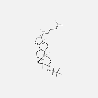 CC(C)=CCC[C@@H](C)[C@H]1CC=C2C3=C(CC[C@@]21C)[C@@]1(C)CC[C@H](O[Si](C)(C)C(C)(C)C)C(C)(C)[C@@H]1CC3